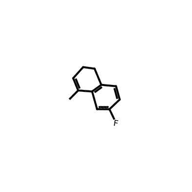 CC1=CCCc2ccc(F)cc21